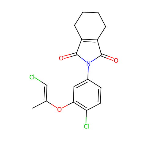 CC(=CCl)Oc1cc(N2C(=O)C3=C(CCCC3)C2=O)ccc1Cl